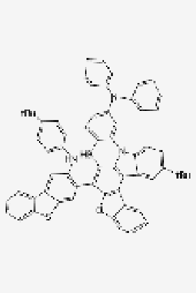 CC(C)(C)c1ccc(Nc2cc3c(cc2-c2c4c5c(c6cc(C(C)(C)C)ccc6n5-c5cc(N(c6ccccc6)c6ccccc6)ccc5B4)c4c2oc2ccccc24)sc2ccccc23)cc1